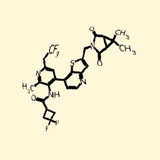 Cc1nc(CC(F)(F)F)cc(-c2ccnc3cc(CN4C(=O)C5C(C4=O)C5(C)C)sc23)c1NC(=O)C1CC(F)(F)C1